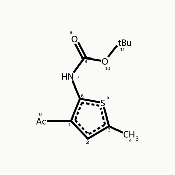 CC(=O)c1cc(C)sc1NC(=O)OC(C)(C)C